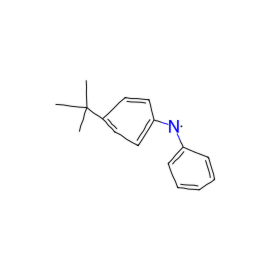 CC(C)(C)c1ccc([N]c2ccccc2)cc1